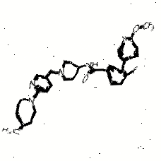 CC1CCN(c2ccc(CN3CCC(NC(=O)c4ccc(F)c(-c5ccc(OC(F)(F)F)nc5)c4)CC3)cn2)CC1